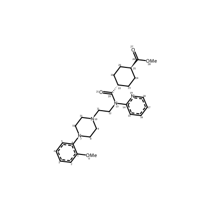 COc1ccccc1N1CCN(CCN(c2ccccn2)C(=O)[C@H]2CC[C@H](C(=O)OC)CC2)CC1